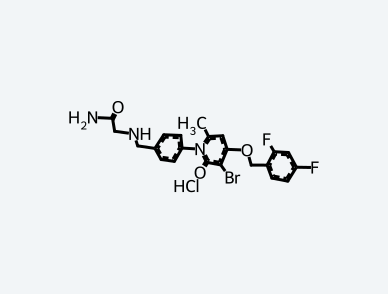 Cc1cc(OCc2ccc(F)cc2F)c(Br)c(=O)n1-c1ccc(CNCC(N)=O)cc1.Cl